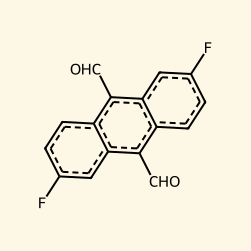 O=Cc1c2ccc(F)cc2c(C=O)c2ccc(F)cc12